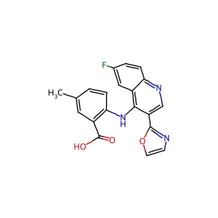 Cc1ccc(Nc2c(-c3ncco3)cnc3ccc(F)cc23)c(C(=O)O)c1